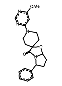 COc1cc(N2CCC3(CC2)OC2CCC(c4ccccc4)N2C3=O)ncn1